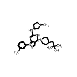 CN1CC[C@@H](NC2=Nc3c(cnn3-c3cccc(C(F)(F)F)c3)[C@@H](N3CCC(CC(C)(C)O)CC3)N2)C1